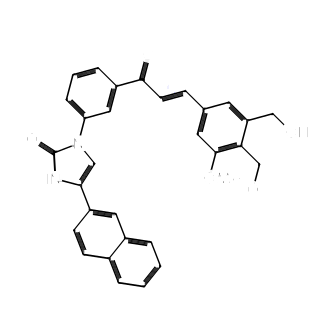 COc1cc(/C=C/C(=O)c2cccc(-n3cc(-c4ccc5ccccc5c4)[nH]c3=O)c2)cc(CO)c1CO